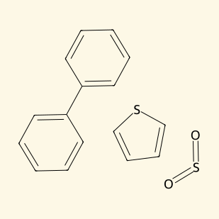 O=S=O.c1ccc(-c2ccccc2)cc1.c1ccsc1